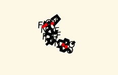 COc1ccc(CN(Cc2ccc(OC)cc2)c2cc(C)c(I)c(-c3c(C(F)(F)F)cc4c(N5CC6CCC(C5)N6C(=O)OC(C)(C)C)nc(F)nc4c3F)n2)cc1